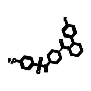 O=C([C@H]1CC[C@H](NS(=O)(=O)c2ccc(C(F)(F)F)cc2)CC1)N1CCCCC1c1ccc(F)cc1